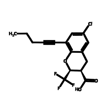 CCCC#Cc1cc(Cl)cc2c1O[C@H](C(F)(F)F)[C@H](C(=O)O)C2